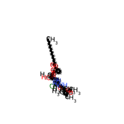 CCCCCCCCCCCCCCCC(=O)OCc1ccccc1C(=O)OC[C@@]1(C)O[C@@H](n2cnc3c(NC(=O)CC(C)(C)c4c(C)cc(C)cc4OC(C)=O)nc(Cl)nc32)C[C@@H]1O